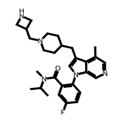 Cc1cncc2c1c(CC1CCN(CC3CNC3)CC1)cn2-c1ccc(F)cc1C(=O)N(C)C(C)C